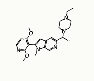 [CH2]C(c1cc2cc(-c3c(OC)ccnc3OC)n(C)c2cn1)N1CCN(CC)CC1